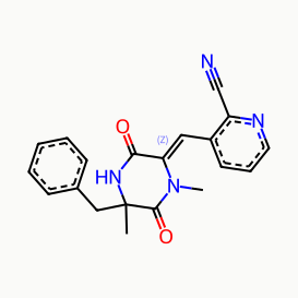 CN1C(=O)C(C)(Cc2ccccc2)NC(=O)/C1=C/c1cccnc1C#N